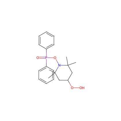 CC1(C)CC(OO)CC(C)(C)N1OP(=O)(c1ccccc1)c1ccccc1